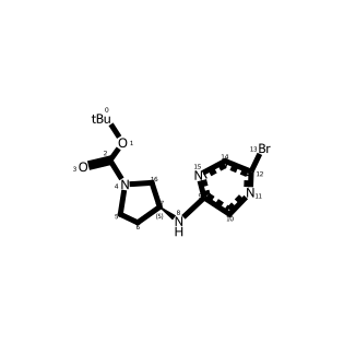 CC(C)(C)OC(=O)N1CC[C@H](Nc2cnc(Br)cn2)C1